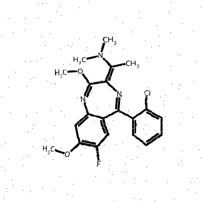 COC1=Nc2cc(OC)c(F)cc2C(c2ccccc2Cl)=N/C1=C(\C)N(C)C